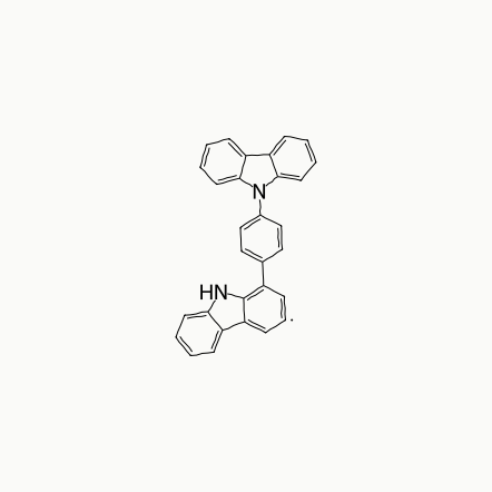 [c]1cc(-c2ccc(-n3c4ccccc4c4ccccc43)cc2)c2[nH]c3ccccc3c2c1